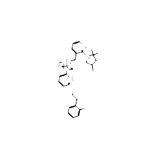 CC1CN(c2ncccc2C(=O)NS(=O)(=O)c2cccc(OCCc3ccccc3F)n2)C(C)(C)C1